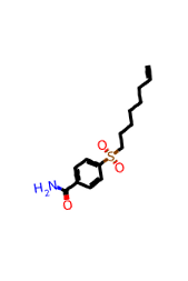 C=CCCCCCCS(=O)(=O)c1ccc(C(N)=O)cc1